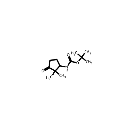 CC(C)(C)OC(=O)NC1CCC(=O)C1(C)C